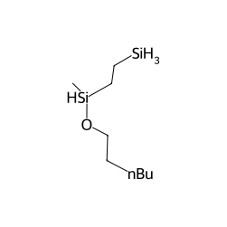 CCCCCCO[SiH](C)CC[SiH3]